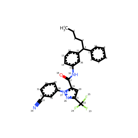 CCCCC(c1ccccc1)c1cccc(NC(=O)c2cc(C(F)(F)F)nn2-c2cccc(C#N)c2)c1